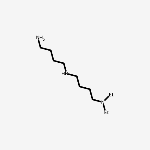 CCN(CC)CCCCNCCCCN